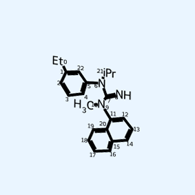 CCc1cccc(N(C(=N)N(C)c2cccc3ccccc23)C(C)C)c1